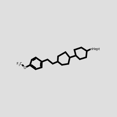 CCCCCCCC1CCC(C2CCC(CCc3ccc(OC(F)(F)F)cc3)CC2)CC1